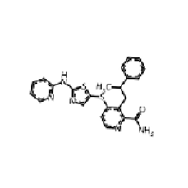 CC(Cc1c(Sc2cnc(Nc3ccccn3)s2)ccnc1C(N)=O)c1ccccc1